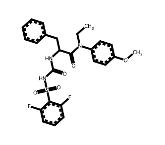 CCN(C(=O)C(Cc1ccccc1)NC(=O)NS(=O)(=O)c1c(F)cccc1F)c1ccc(OC)cc1